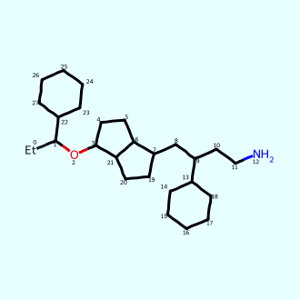 CCC(OC1CCC2C(CC(CCN)C3CCCCC3)CCC12)C1CCCCC1